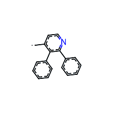 [CH2]c1ccnc(-c2ccccc2)c1-c1ccccc1